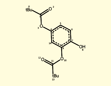 CC(C)(C)C(=O)Oc1ccc(O)c(OC(=O)C(C)(C)C)c1